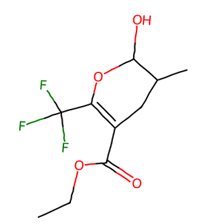 CCOC(=O)C1=C(C(F)(F)F)OC(O)C(C)C1